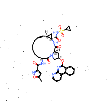 Cc1cc(C(=O)N[C@H]2CCCCCC=C[C@@H]3C[C@@]3(C(=O)NS(=O)(=O)C3CC3)NC(=O)[C@@H]3C[C@@H](Oc4nc5ncccc5c5ccccc45)CN3C2=O)no1